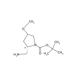 COC1C[C@@H](CN)N(C(=O)OC(C)(C)C)C1